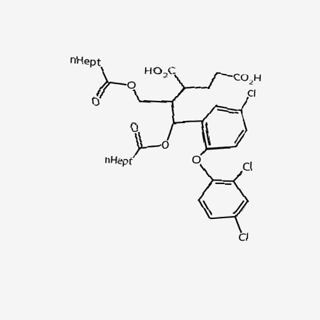 CCCCCCCC(=O)OCC(C(CCC(=O)O)C(=O)O)C(OC(=O)CCCCCCC)c1cc(Cl)ccc1Oc1ccc(Cl)cc1Cl